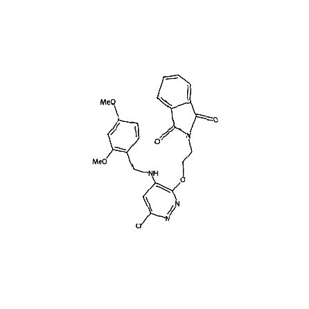 COc1ccc(CNc2cc(Cl)nnc2OCCN2C(=O)c3ccccc3C2=O)c(OC)c1